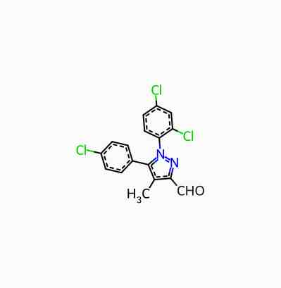 Cc1c(C=O)nn(-c2ccc(Cl)cc2Cl)c1-c1ccc(Cl)cc1